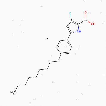 CCCCCCCCCc1ccc(-c2cc(F)c(C(=O)O)[nH]2)cc1